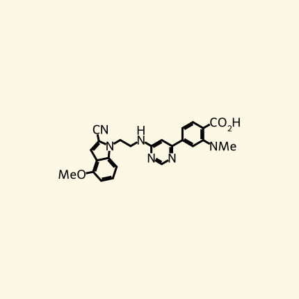 CNc1cc(-c2cc(NCCn3c(C#N)cc4c(OC)cccc43)ncn2)ccc1C(=O)O